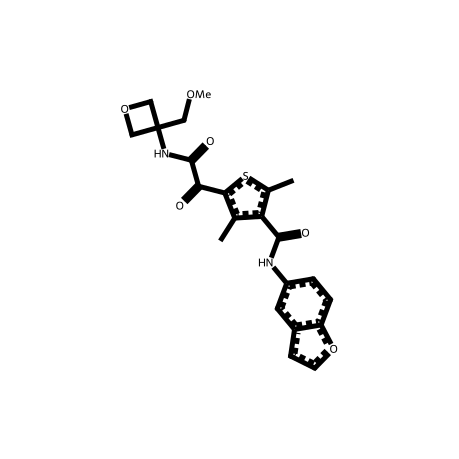 COCC1(NC(=O)C(=O)c2sc(C)c(C(=O)Nc3ccc4occc4c3)c2C)COC1